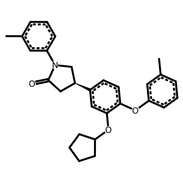 Cc1cccc(Oc2ccc([C@H]3CC(=O)N(c4cccc(C)c4)C3)cc2OC2CCCC2)c1